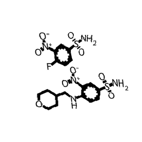 NS(=O)(=O)c1ccc(F)c([N+](=O)[O-])c1.NS(=O)(=O)c1ccc(NCC2CCOCC2)c([N+](=O)[O-])c1